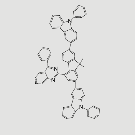 CC1(C)c2cc(-c3ccc4c(c3)c3ccccc3n4-c3ccccc3)ccc2-c2c(-c3nc(-c4ccccc4)c4ccccc4n3)cc(-c3ccc4c(c3)c3ccccc3n4-c3ccccc3)cc21